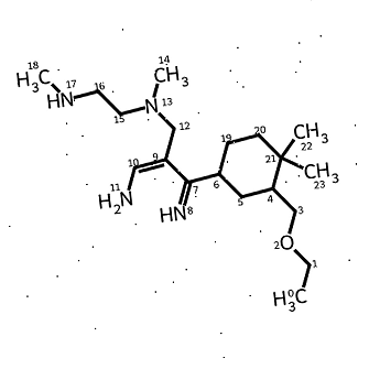 CCOCC1CC(C(=N)/C(=C\N)CN(C)CCNC)CCC1(C)C